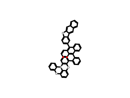 c1ccc2c(c1)Oc1cccc3c1B2c1cccc(-c2ccccc2-c2c4ccccc4c(-c4ccc5oc6cc7ccccc7cc6c5c4)c4ccccc24)c1O3